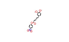 COc1ccc(C=CC=CC(=O)Oc2ccc([N+](=O)[O-])cc2)cc1OC